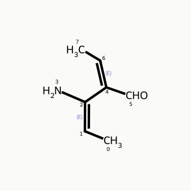 C/C=C(N)\C(C=O)=C/C